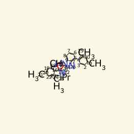 Cc1ccc(-c2cccc3[nH]c(CN(C(=O)c4c(C)cc(C)cc4C)C(C)C)nc23)c(C)c1